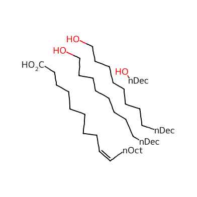 CCCCCCCC/C=C\CCCCCCCC(=O)O.CCCCCCCCCCCCCCCCCCO.CCCCCCCCCCCCCCCCCCO.CCCCCCCCCCO